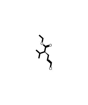 CCOC(=O)[C@@H](CC=CCl)C(C)C